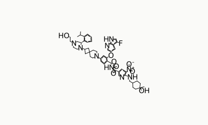 CC(C)c1ccccc1[C@@H]1CN(CCO)CCN1C1CC2(CCN(c3ccc(C(=O)NS(=O)(=O)c4cnc(NCC5CCC(C)(O)CC5)c([N+](=O)[O-])c4)c(Oc4cnc5[nH]cc(F)c5c4)c3)CC2)C1